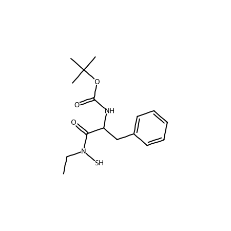 CCN(S)C(=O)C(Cc1ccccc1)NC(=O)OC(C)(C)C